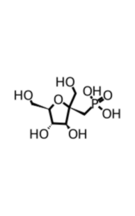 O=P(O)(O)C[C@]1(CO)O[C@H](CO)[C@@H](O)[C@@H]1O